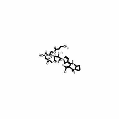 CCCC(=O)OCOP(=O)(O)CS(=O)(=O)C[C@H]1O[C@@H](n2ccc3c(NC4CCCC4)c(C#N)c(Cl)nc32)[C@H](O)[C@@H]1O